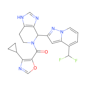 O=C(c1ocnc1C1CC1)N1CCc2[nH]cnc2C1c1cc2c(C(F)F)cccn2n1